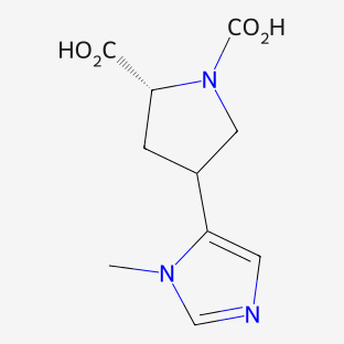 Cn1cncc1C1C[C@H](C(=O)O)N(C(=O)O)C1